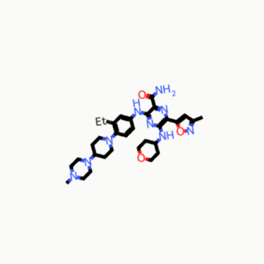 CCc1cc(Nc2nc(NC3CCOCC3)c(-c3cc(C)no3)nc2C(N)=O)ccc1N1CCC(N2CCN(C)CC2)CC1